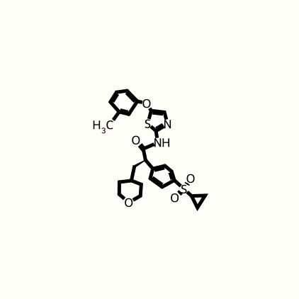 Cc1cccc(Oc2cnc(NC(=O)[C@H](CC3CCOCC3)c3ccc(S(=O)(=O)C4CC4)cc3)s2)c1